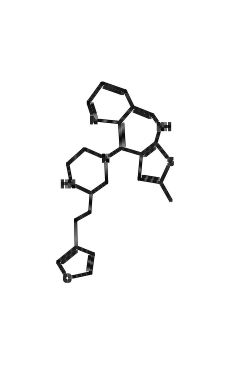 Cc1cc2c(s1)NC=c1cccnc1=C2N1CCNC(CCc2ccoc2)C1